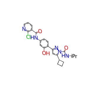 CC(C)NC(=O)n1nc(-c2ccc(NC(=O)c3cccnc3Cl)cc2O)cc1C1CCC1